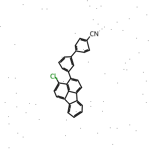 N#Cc1ccc(-c2cccc(-c3ccc4c5c(ccc(Cl)c35)-c3ccccc3-4)c2)cc1